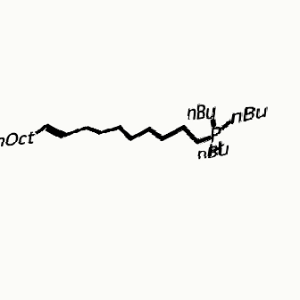 CCCCCCCCC=CCCCCCCCC[PH](CCCC)(CCCC)CCCC